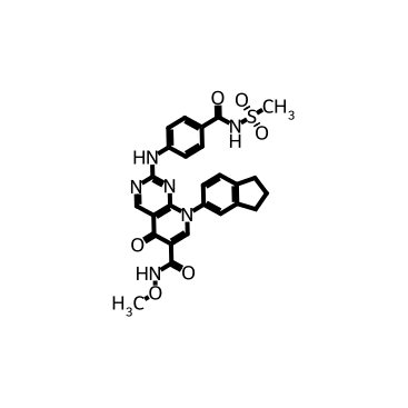 CONC(=O)c1cn(-c2ccc3c(c2)CCC3)c2nc(Nc3ccc(C(=O)NS(C)(=O)=O)cc3)ncc2c1=O